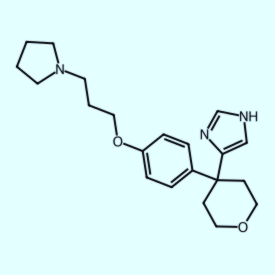 c1nc(C2(c3ccc(OCCCN4CCCC4)cc3)CCOCC2)c[nH]1